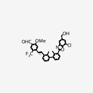 COc1cc(/C=C/c2cccc(-c3cccc(-c4nc5cc(CO)cc(Cl)c5o4)c3C)c2C)c(C(F)(F)F)cc1C=O